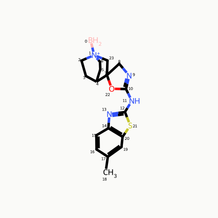 B[N+]12CCC(CC1)C1(CN=C(Nc3nc4ccc(C)cc4s3)O1)C2